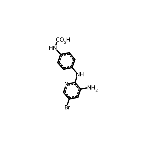 Nc1cc(Br)cnc1Nc1ccc(NC(=O)O)cc1